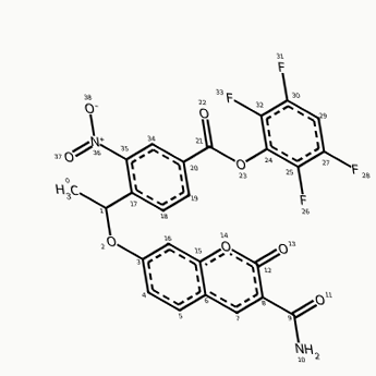 CC(Oc1ccc2cc(C(N)=O)c(=O)oc2c1)c1ccc(C(=O)Oc2c(F)c(F)cc(F)c2F)cc1[N+](=O)[O-]